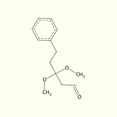 COC(C[C]=O)(CCc1ccccc1)OC